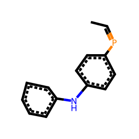 C/C=P\c1ccc(Nc2ccccc2)cc1